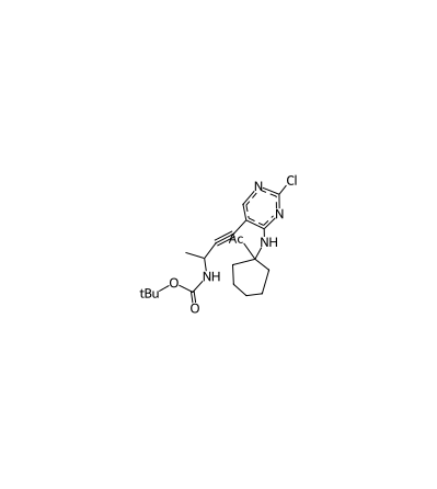 CC(=O)C1(Nc2nc(Cl)ncc2C#CC(C)NC(=O)OC(C)(C)C)CCCCC1